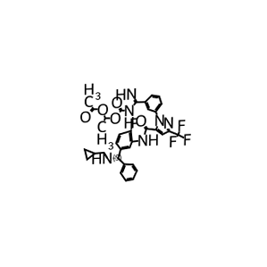 CC(=O)OC(C)OC(=O)NC(=N)c1cccc(-n2nc(C(F)(F)F)cc2C(=O)Nc2cc([C@@H](NCC3CC3)c3ccccc3)ccc2F)c1